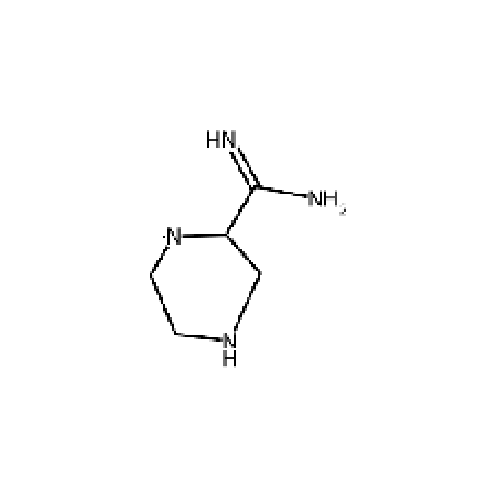 N=C(N)C1CNCC[N]1